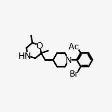 CC(=O)c1cccc(Br)c1N1CCC(CC2(C)CNCC(C)O2)CC1